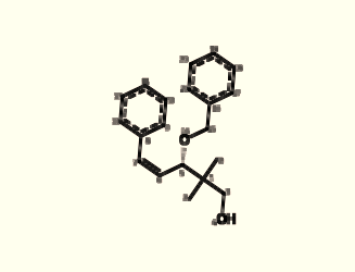 CC(C)(CO)[C@H](/C=C\c1ccccc1)OCc1ccccc1